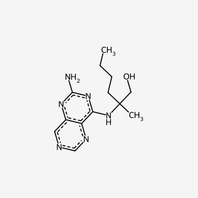 CCCCC(C)(CO)Nc1nc(N)nc2cncnc12